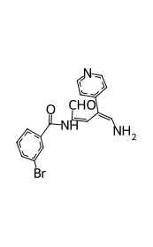 N/C=C(\C=C(/C=O)NC(=O)c1cccc(Br)c1)c1ccncc1